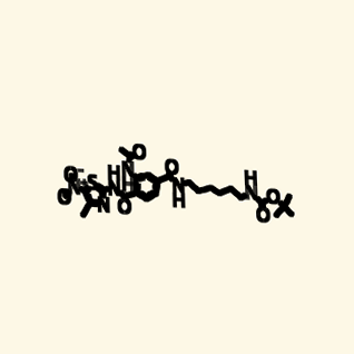 CC(=O)Nc1cc(C(=O)NCCCCCCNC(=O)OC(C)(C)C)ccc1C(=O)Nc1nc(C)c([N+](=O)[O-])s1